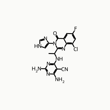 CC(Nc1nc(N)nc(N)c1C#N)c1nc2c(Cl)cc(F)cc2c(=O)n1-c1c[nH]cn1